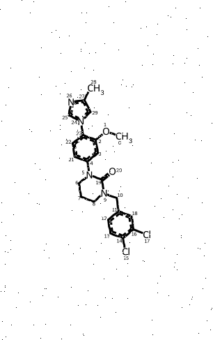 COc1cc(N2CCCN(Cc3ccc(Cl)c(Cl)c3)C2=O)ccc1-n1cnc(C)c1